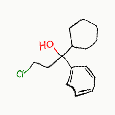 OC(CCCl)(c1ccccc1)C1CCCCC1